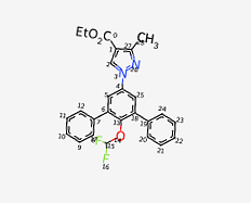 CCOC(=O)c1cn(-c2cc(-c3ccccc3)c(OC(F)F)c(-c3ccccc3)c2)nc1C